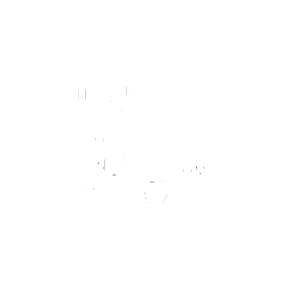 COCc1cccc(Oc2ccc(OCCC(C)(C)O)nc2C)c1